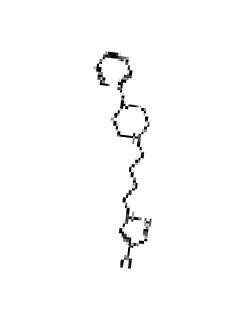 Clc1cnn(CCCCN2CCN(c3ccccc3)CC2)c1